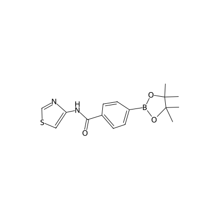 CC1(C)OB(c2ccc(C(=O)Nc3cscn3)cc2)OC1(C)C